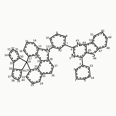 c1ccc(-c2nc(-c3cccc(-n4c5cccc6c5c5c7c(cccc7ccc54)C64c5ccccc5-c5ccccc54)c3)nc3c2sc2ccccc23)cc1